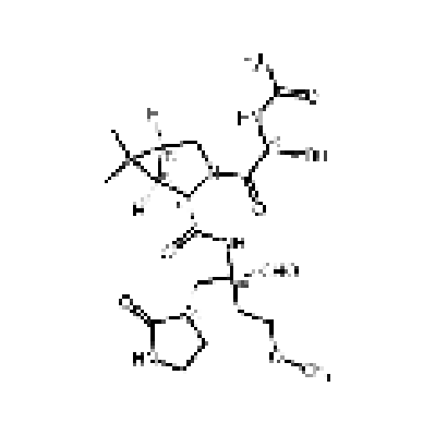 CC(C)(C)[C@H](NC(=O)C(F)(F)F)C(=O)N1C[C@H]2[C@@H]([C@H]1C(=O)N[C@@](C=O)(CCOC(F)(F)F)C[C@@H]1CCNC1=O)C2(C)C